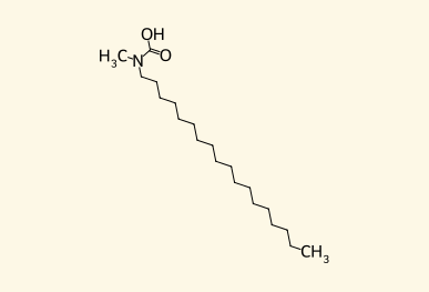 CCCCCCCCCCCCCCCCCCN(C)C(=O)O